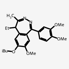 CCC(C)Oc1cc2c(cc1OC)C(c1ccc(OC)c(OC)c1)=NN=C(C)C2CC